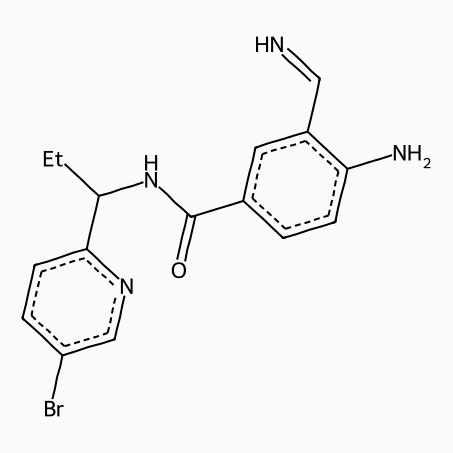 CCC(NC(=O)c1ccc(N)c(C=N)c1)c1ccc(Br)cn1